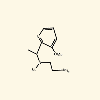 CCN(CCN)C(C)c1ncccc1OC